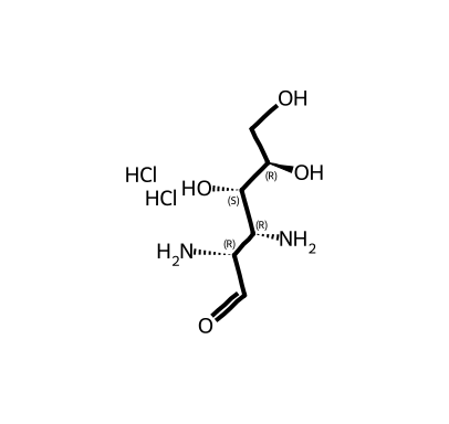 Cl.Cl.N[C@@H]([C@H](O)[C@H](O)CO)[C@@H](N)C=O